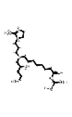 CCCCCCCCCCCCC(O)CN(CCCCCCCC(=O)OC(CCCCCCCC)CCCCCCCC)CCCN1CCN=C1C